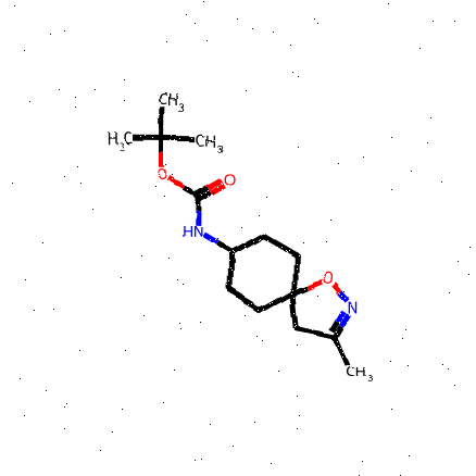 CC1=NOC2(CCC(NC(=O)OC(C)(C)C)CC2)C1